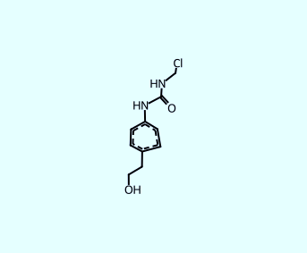 O=C(NCCl)Nc1ccc(CCO)cc1